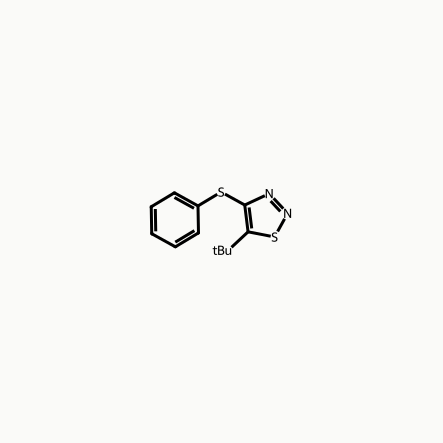 CC(C)(C)c1snnc1Sc1ccccc1